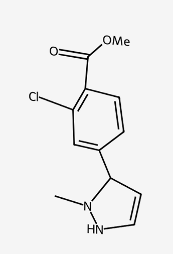 COC(=O)c1ccc(C2C=CNN2C)cc1Cl